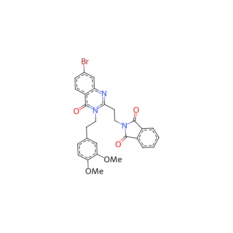 COc1ccc(CCn2c(CCN3C(=O)c4ccccc4C3=O)nc3cc(Br)ccc3c2=O)cc1OC